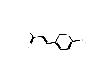 NC1=CC=C(/C=C/C(=O)O)CN1